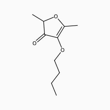 CCCCOC1=C(C)OC(C)C1=O